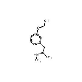 CNC(C)Cc1cccc(OCO)c1